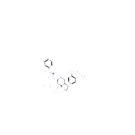 CCCN1CC[C@]2(c3ccc(OC)c(OC)c3)CC[C@@H](NC(=O)Nc3ccc(F)c(F)c3)C[C@H]12.Cl